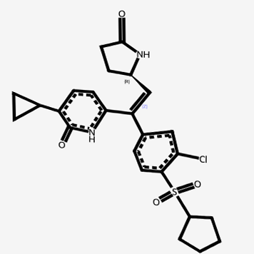 O=C1CC[C@H](/C=C(/c2ccc(S(=O)(=O)C3CCCC3)c(Cl)c2)c2ccc(C3CC3)c(=O)[nH]2)N1